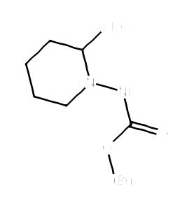 CC(C)(C)OC(=O)NN1CCCCC1[C]=O